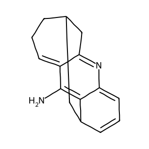 Nc1c2c3nc4c1=CCCC(C4)CC2C=CC=3